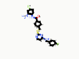 Nc1cc(F)ccc1NC(=O)c1ccc(CSc2nccc(NCc3ccc(F)cc3)n2)cc1